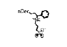 CCCCCCCCCCCCC(c1ccccc1)[N+](C)(C)CCCS(=O)(=O)[O-]